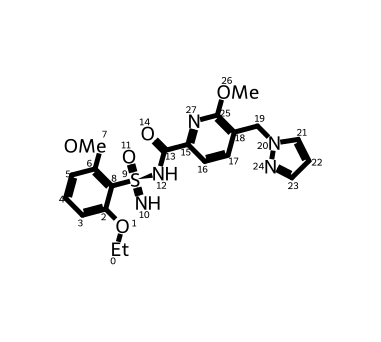 CCOc1cccc(OC)c1[S@@](=N)(=O)NC(=O)c1ccc(Cn2cccn2)c(OC)n1